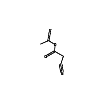 [CH]=C(C)OC(=O)CC#N